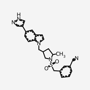 CC1CC(Cn2ccc3cc(-c4cn[nH]c4)ccc32)CN1S(=O)(=O)Cc1cccc(C#N)c1